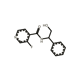 O=C(NC(CO)c1ccccc1)c1ccncc1F